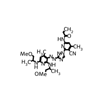 C=CC(=O)Nc1cc(C)c(C#N)c(-n2cnc(N=Nc3c(C)cc(NC(C)COC)nc3NC(C)COC)n2)n1